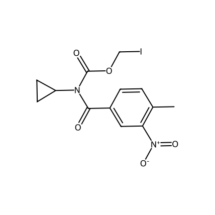 Cc1ccc(C(=O)N(C(=O)OCI)C2CC2)cc1[N+](=O)[O-]